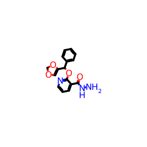 NNC(=O)c1cccnc1OC(C1=COCO1)c1ccccc1